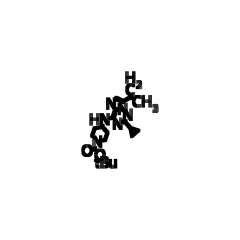 C=C(C)c1cnc2c(NC3CCN(C(=O)OC(C)(C)C)CC3)nc(C3CC3)nn12